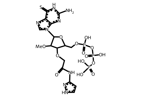 COC1C(OCC(=O)Nc2cc[nH]n2)C(COP(=O)(O)OP(=O)(O)OP(=O)(O)O)OC1n1cnc2c(=S)[nH]c(N)nc21